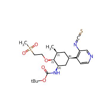 C[C@H]1C[C@@H](c2ccncc2N=C=S)C[C@@H](NC(=O)OC(C)(C)C)[C@H]1OCCS(C)(=O)=O